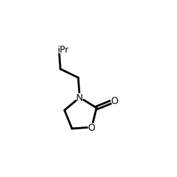 CC(C)CCN1CCOC1=O